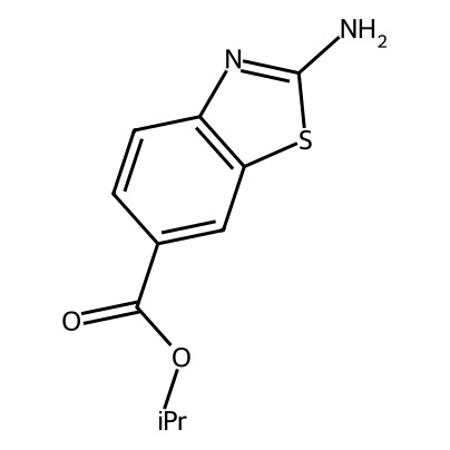 CC(C)OC(=O)c1ccc2nc(N)sc2c1